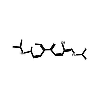 C=C(/C=C\C(S)=C/NC(C)C)C(/C=C\C(C)NC(C)C)=C/C